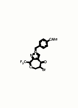 COc1ccc(Cn2cc3c(n2)C(C(F)(F)F)OCC(Br)C3=O)cc1